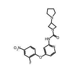 O=C(Nc1cc(Oc2ccc([N+](=O)[O-])cc2F)ccn1)N1CC(N2CCCC2)C1